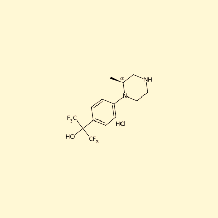 C[C@H]1CNCCN1c1ccc(C(O)(C(F)(F)F)C(F)(F)F)cc1.Cl